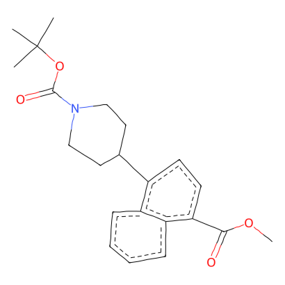 COC(=O)c1ccc(C2CCN(C(=O)OC(C)(C)C)CC2)c2ccccc12